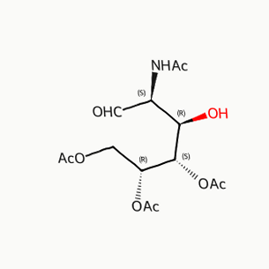 CC(=O)N[C@H](C=O)[C@@H](O)[C@H](OC(C)=O)[C@@H](COC(C)=O)OC(C)=O